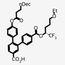 CCCCCCCCCCCCC(=O)Oc1ccc(-c2ccc(C(=O)O)cc2-c2ccc(C(=O)O[C@H](CCCOCC)C(F)(F)F)cc2)cc1